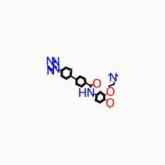 COc1ccc(NC(=O)c2ccc(-c3ccc(-n4ncnn4)cc3)cc2)cc1OCCN(C)C